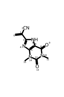 C=C(C#N)c1nc2c([nH]1)c(=O)n(C)c(=O)n2C